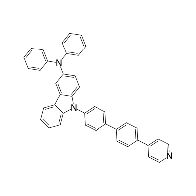 c1ccc(N(c2ccccc2)c2ccc3c(c2)c2ccccc2n3-c2ccc(-c3ccc(-c4ccncc4)cc3)cc2)cc1